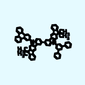 CC1(C)c2ccccc2-c2cc3c4cc(-c5ccc6c(c5)c5cc7c(cc5n6-c5ccc6c8ccccc8c8ccccc8c6c5)C(C)(C)c5ccccc5-7)ccc4n(-c4cc(-c5ccccc5)cc(-c5ccccc5)c4)c3cc21